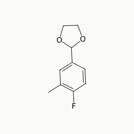 Cc1cc(C2OCCO2)ccc1F